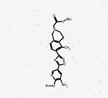 Cc1c(-c2noc(-c3cnc(OC(C)C)c(N)c3)n2)ccc2c1CCN(CC(=O)OC(C)(C)C)C2